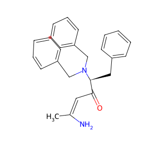 CC(N)=CC(=O)[C@H](Cc1ccccc1)N(Cc1ccccc1)Cc1ccccc1